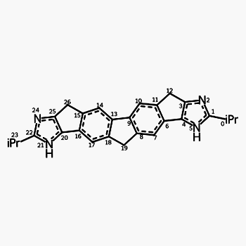 CC(C)c1nc2c([nH]1)-c1cc3c(cc1C2)-c1cc2c(cc1C3)-c1[nH]c(C(C)C)nc1C2